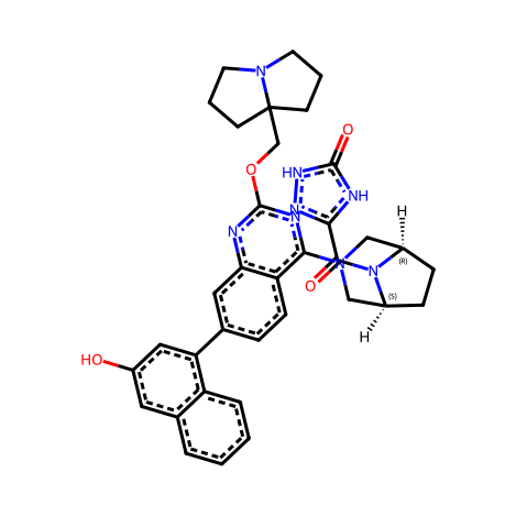 O=C(c1n[nH]c(=O)[nH]1)N1[C@@H]2CC[C@H]1CN(c1nc(OCC34CCCN3CCC4)nc3cc(-c4cc(O)cc5ccccc45)ccc13)C2